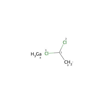 [CH2]C(Cl)Cl.[GaH3]